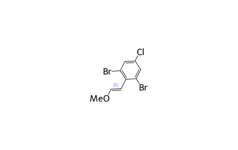 CO/C=C/c1c(Br)cc(Cl)cc1Br